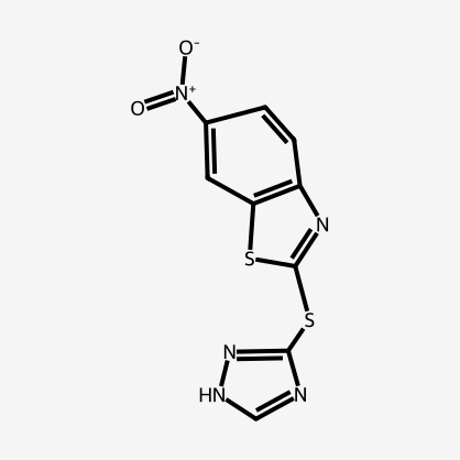 O=[N+]([O-])c1ccc2nc(Sc3nc[nH]n3)sc2c1